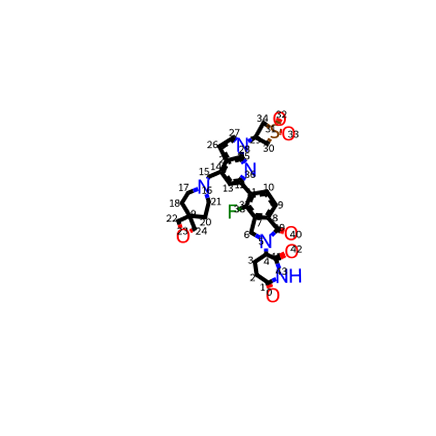 O=C1CCC(N2Cc3c(ccc(-c4cc(CN5CCC6(CC5)COC6)c5ccn(C6CS(=O)(=O)C6)c5n4)c3F)C2=O)C(=O)N1